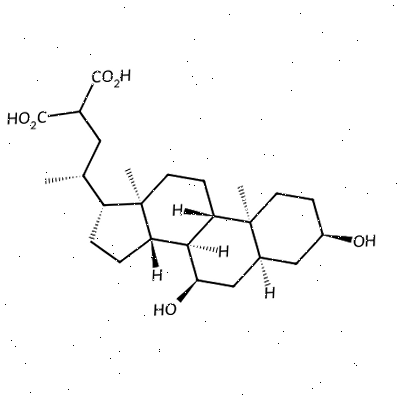 C[C@H](CC(C(=O)O)C(=O)O)[C@H]1CC[C@H]2[C@@H]3[C@H](O)C[C@@H]4C[C@H](O)CC[C@]4(C)[C@H]3CC[C@]12C